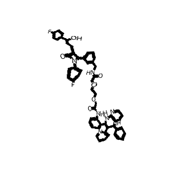 O=C(COCCOCC(=O)Nc1ccccc1C(Nc1ccccn1)C(c1ccccn1)C(O)c1ccccc1)NCc1cccc(C2C(CCC(O)c3ccc(F)cc3)C(=O)N2c2ccc(F)cc2)c1